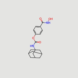 O=C(NC12CC3CC(CC(C3)C1)C2)Oc1ccc(C(=O)NO)cc1